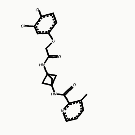 Cc1cccnc1C(=O)NC12CC(NC(=O)COc3ccc(Cl)c(Cl)c3)(C1)C2